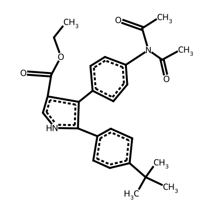 CCOC(=O)c1c[nH]c(-c2ccc(C(C)(C)C)cc2)c1-c1ccc(N(C(C)=O)C(C)=O)cc1